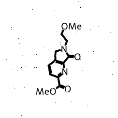 COCCN1Cc2ccc(C(=O)OC)nc2C1=O